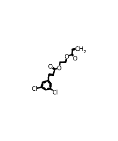 C=CC(=O)OCCOC(=O)/C=C/c1cc(Cl)cc(Cl)c1